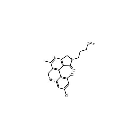 COCCCN1Cc2nc(C)c(CN)c(-c3ccc(Cl)cc3Cl)c2C1=O